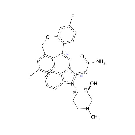 CN1CC[C@H](n2/c(=N/C(N)=O)n(/C=C3\c4ccc(F)cc4COc4cc(F)ccc43)c3ccccc32)[C@@H](O)C1